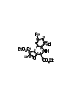 CCOC(=O)c1cc(C(Nc2ccc(F)cc2Cl)C(=O)OCC)oc1C